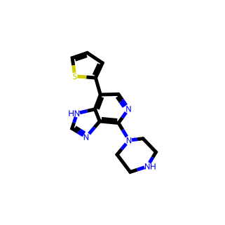 c1csc(-c2cnc(N3CCNCC3)c3nc[nH]c23)c1